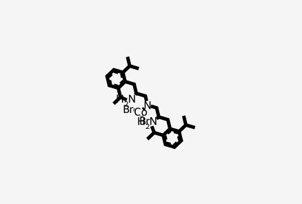 CC(C)c1cccc(C(C)C)c1CC(N)C[N](CC(N)Cc1c(C(C)C)cccc1C(C)C)[Co]([Br])[Br]